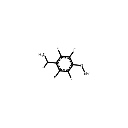 [CH2]C(F)c1c(F)c(F)c(OCCC)c(F)c1F